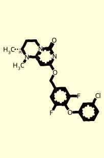 C[C@@H]1CCn2c(cc(OCc3cc(F)c(Oc4cccc(Cl)c4)c(F)c3)nc2=O)N1C